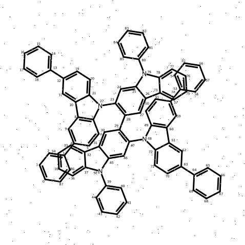 c1ccc(-c2ccc3c(c2)c2cc(-c4ccccc4)ccc2n3-c2cc3c(cc2-c2cc4c5ccccc5n(-c5ccccc5)c4cc2-n2c4ccc(-c5ccccc5)cc4c4cc(-c5ccccc5)ccc42)c2ccccc2n3-c2ccccc2)cc1